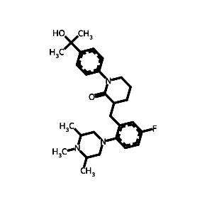 CC1CN(c2ccc(F)cc2CC2CCCN(c3ccc(C(C)(C)O)cc3)C2=O)CC(C)N1C